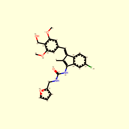 COc1cc(C=C2C(C)=C(NC(=O)NCc3ccco3)c3cc(F)ccc32)cc(OC)c1CO